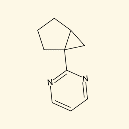 c1cnc(C23CCCC2C3)nc1